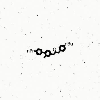 CCCCc1ccc(CC(=O)Cc2ccc(-c3ccc(CCC)cc3)c(C)c2)cc1